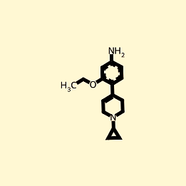 CCOc1cc(N)ccc1C1=CCN(C2CC2)CC1